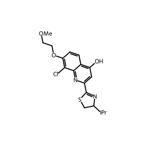 COCCOc1ccc2c(O)cc(C3=NC(C(C)C)CS3)nc2c1Cl